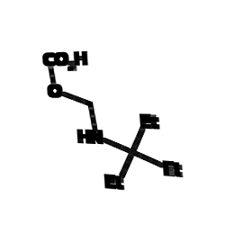 CCC(CC)(CC)NCOC(=O)O